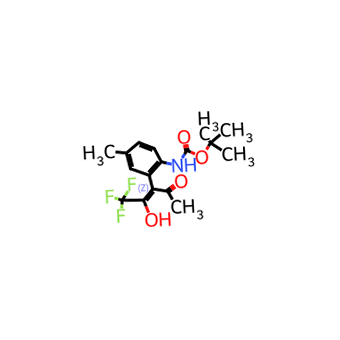 CC(=O)/C(=C(\O)C(F)(F)F)c1cc(C)ccc1NC(=O)OC(C)(C)C